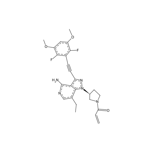 C=CC(=O)N1CC[C@H](n2nc(C#Cc3c(F)c(OC)cc(OC)c3F)c3c(N)ncc(CC)c32)C1